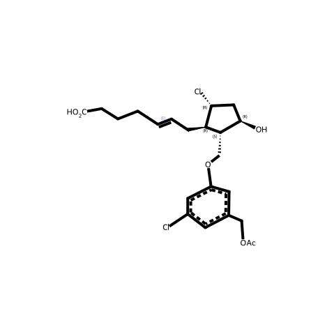 CC(=O)OCc1cc(Cl)cc(OC[C@@H]2[C@@H](C/C=C/CCCC(=O)O)[C@H](Cl)C[C@H]2O)c1